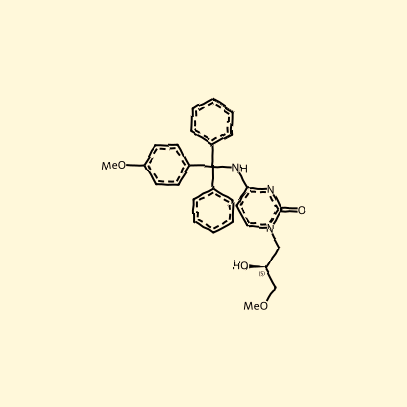 COC[C@@H](O)Cn1ccc(NC(c2ccccc2)(c2ccccc2)c2ccc(OC)cc2)nc1=O